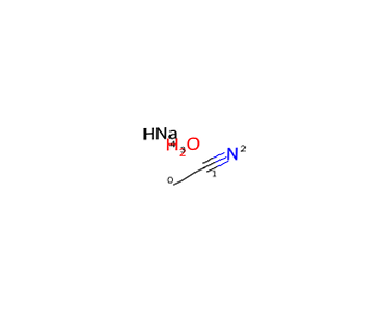 CC#N.O.[NaH]